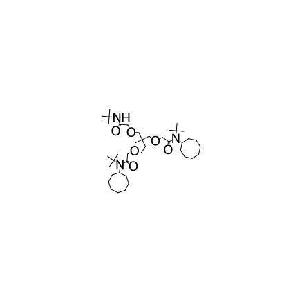 CCC(COCC(=O)NC(C)(C)C)(COCC(=O)N(C1CCCCCCC1)C(C)(C)C)COCC(=O)N(C1CCCCCCC1)C(C)(C)C